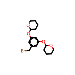 BrCc1cc(OC2CCCCO2)cc(OC2CCCCO2)c1